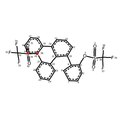 O=S(=O)(Oc1ccccc1-c1cccc(-c2ccccc2)c1-c1ccccc1OS(=O)(=O)C(F)(F)F)C(F)(F)F